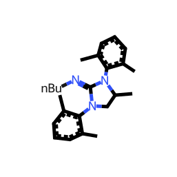 CCCCN=C1N(c2c(C)cccc2C)CC(C)N1c1c(C)cccc1C